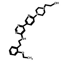 CCOc1ccccc1CCNc1cc(-c2ccc(N3CCN(CCO)CC3)nc2)ncn1